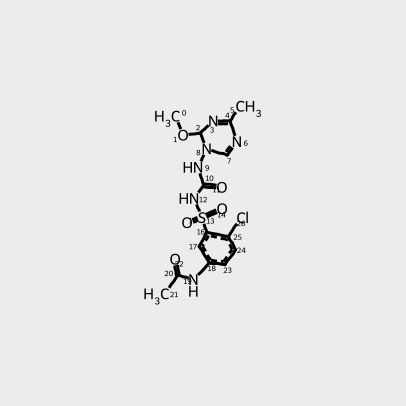 COC1N=C(C)N=CN1NC(=O)NS(=O)(=O)c1cc(NC(C)=O)ccc1Cl